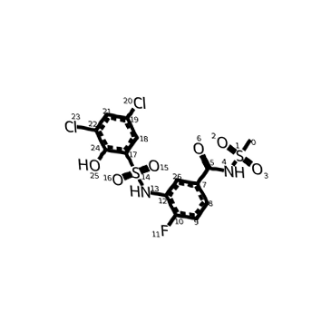 CS(=O)(=O)NC(=O)c1ccc(F)c(NS(=O)(=O)c2cc(Cl)cc(Cl)c2O)c1